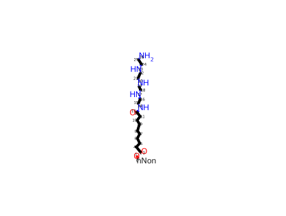 CCCCCCCCCOC(=O)CCCCCCCCC(=O)NCCNCCNCCNCCN